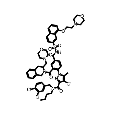 CCCCN(Cc1ccc(Cl)c(Cl)c1)C(=O)c1nn(-c2ccc(C(=O)NS(=O)(=O)c3ccc4cccc(OCCN5CCOCC5)c4c3)cc2C(=O)N2Cc3ccccc3CC2CN2CCOCC2)c(C)c1Cl